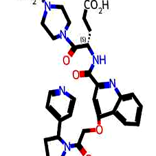 CCOC(=O)N1CCN(C(=O)[C@H](CCC(=O)O)NC(=O)c2cc(OCC(=O)N3CCCC3c3ccncc3)c3ccccc3n2)CC1